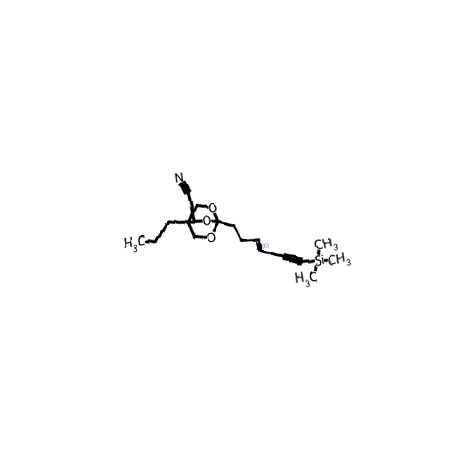 CCCC12COC(CC/C=C/C#C[Si](C)(C)C)(OC1)OC2C#N